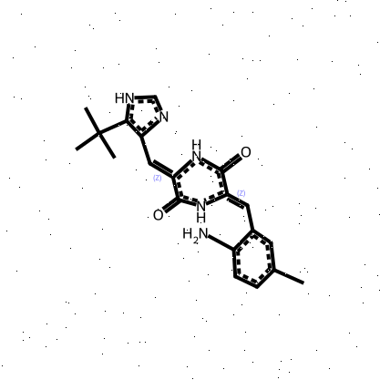 Cc1ccc(N)c(/C=c2\[nH]c(=O)/c(=C/c3nc[nH]c3C(C)(C)C)[nH]c2=O)c1